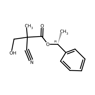 C[C@@H](OC(=O)C(C)(C#N)CO)c1ccccc1